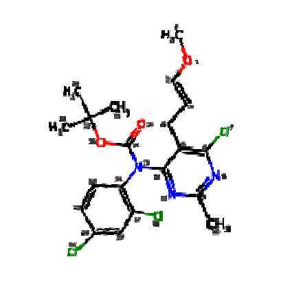 COC=CCc1c(Cl)nc(C)nc1N(C(=O)OC(C)(C)C)c1ccc(Cl)cc1Cl